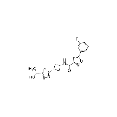 C[C@@H](O)c1nnc([C@H]2C[C@@H](NC(=O)c3cc(-c4cccc(F)c4)on3)C2)o1